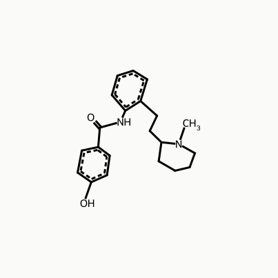 CN1CCCCC1CCc1ccccc1NC(=O)c1ccc(O)cc1